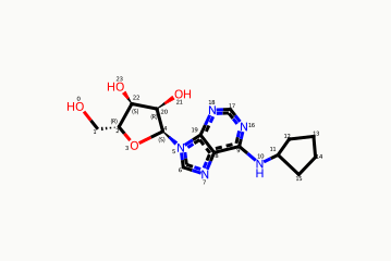 OC[C@H]1O[C@H](n2cnc3c(NC4CCCC4)ncnc32)[C@H](O)[C@@H]1O